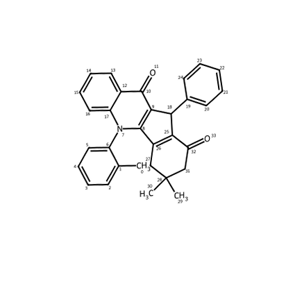 Cc1ccccc1-n1c2c(c(=O)c3ccccc31)C(c1ccccc1)C1=C2CC(C)(C)CC1=O